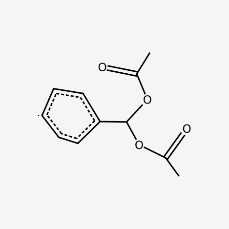 CC(=O)OC(OC(C)=O)c1cc[c]cc1